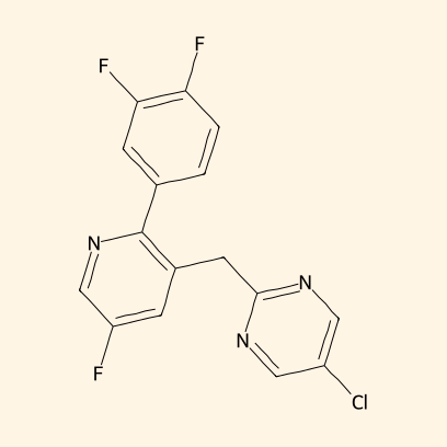 Fc1cnc(-c2ccc(F)c(F)c2)c(Cc2ncc(Cl)cn2)c1